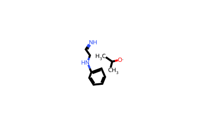 CC(C)[O].N=CCNc1ccccc1